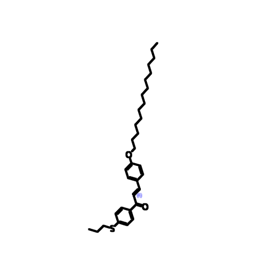 CCCCCCCCCCCCCCCOc1ccc(/C=C/C(=O)c2ccc(SCCC)cc2)cc1